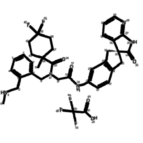 CNCc1ccccc1CN(CC(=O)Nc1ccc2c(c1)C[C@@]1(C2)C(=O)Nc2ncccc21)C(=O)C1(C)CCC(F)(F)CC1.O=C(O)C(F)(F)F